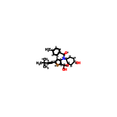 Cc1ccc(C(=O)N(c2cc(C#CC(C)(C)C)sc2C(=O)O)[C@H]2CC[C@H](O)CC2)cc1